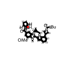 COc1cc(C(=O)N2C[C@H]3CC[C@@H]2[C@@H]3N)cc2nc(-c3cc4cccc(C5CN(C(=O)C(C)(C)C)C5)c4n3CC3CC3)n(C)c12